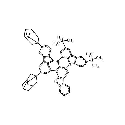 CC(C)(C)c1ccc2c(c1)c1cc(C(C)(C)C)cc3c1n2-c1cc2c(oc4ccccc42)c2c1B3n1c3ccc(C45CC6CC(CC(C6)C4)C5)cc3c3cc(C45CC6CC(CC(C6)C4)C5)cc-2c31